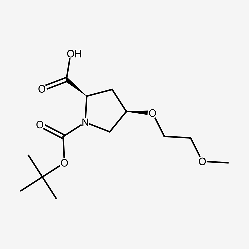 COCCO[C@@H]1C[C@H](C(=O)O)N(C(=O)OC(C)(C)C)C1